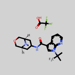 CN1[C@@H]2COC[C@H]1CC(NC(=O)c1cn(C(C)(C)C(F)(F)F)c3ncccc13)C2.O=C(O)C(F)(F)F